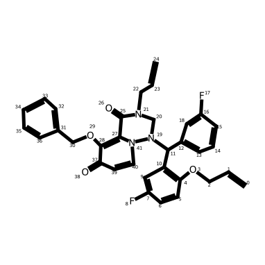 C=CCOc1ccc(F)cc1C(c1cccc(F)c1)N1CN(CC=C)C(=O)c2c(OCc3ccccc3)c(=O)ccn21